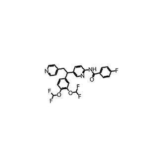 O=C(Nc1ccc(C(Cc2ccncc2)c2ccc(OC(F)F)c(OC(F)F)c2)cn1)c1ccc(F)cc1